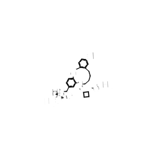 COC[C@@H]1CC[C@H]1CN1CCCCc2cc(Cl)ccc2COc2ccc(C(=O)NS(C)(=O)=O)cc21